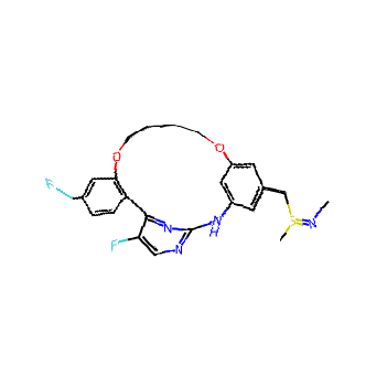 C/N=S(/C)Cc1cc2cc(c1)OCCCCOc1cc(F)ccc1-c1nc(ncc1F)N2